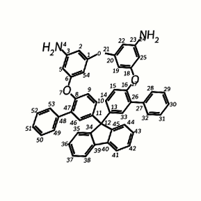 Cc1cc(N)cc(Oc2ccc(C3(c4ccc(Oc5cc(C)cc(N)c5)c(-c5ccccc5)c4)c4ccccc4-c4ccccc43)cc2-c2ccccc2)c1